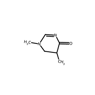 CC1CN(C)C=NC1=O